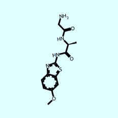 COc1ccc2nc(NC(=O)[C@H](C)NC(=O)CN)sc2c1